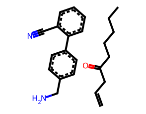 C=CCC(=O)CCCCC.N#Cc1ccccc1-c1ccc(CN)cc1